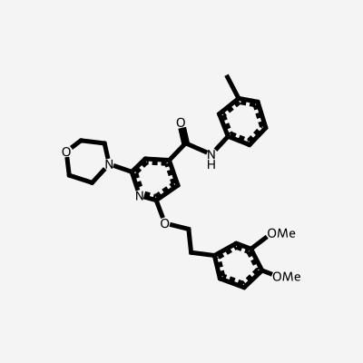 COc1ccc(CCOc2cc(C(=O)Nc3cccc(C)c3)cc(N3CCOCC3)n2)cc1OC